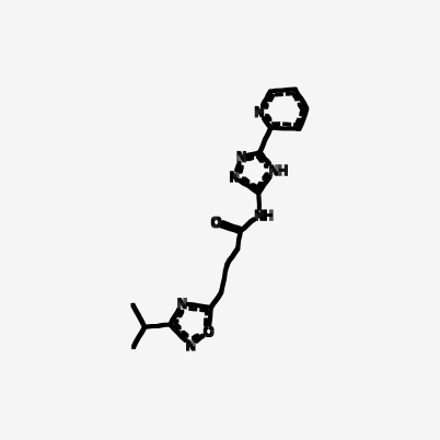 CC(C)c1noc(CCCC(=O)Nc2nnc(-c3ccccn3)[nH]2)n1